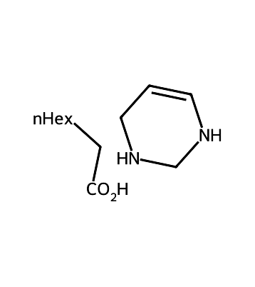 C1=CNCNC1.CCCCCCCC(=O)O